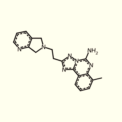 Cc1cccc2c1nc(N)n1nc(CCN3Cc4cccnc4C3)nc21